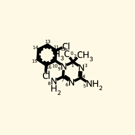 CC1(C)N=C(N)N=C(N)N1c1c(Cl)cccc1Cl